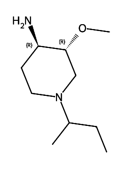 CCC(C)N1CC[C@@H](N)[C@H](OC)C1